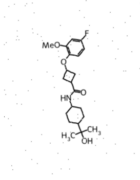 COc1cc(F)ccc1OC1CC(C(=O)NC2CCC(C(C)(C)O)CC2)C1